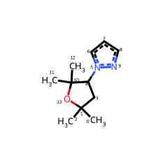 CC1(C)CC(n2cccn2)C(C)(C)O1